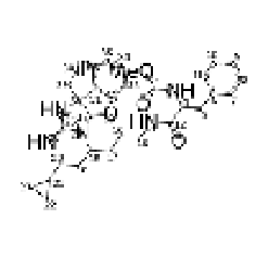 COC(=O)N[C@@H](Cc1ccccc1)C(=O)NCCCC(CCC1CC1)N1C(=N)NC(CC(C)C)(c2ccccc2)C1=O